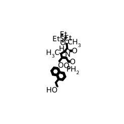 CC[Si](CC)(CC)O[C@H](C)[C@H]1C(=O)N2C(C(=O)OP)=C(COc3cccc4c(CCO)cccc34)[C@H](C)[C@H]12